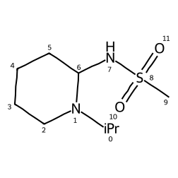 CC(C)N1CCCCC1NS(C)(=O)=O